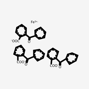 O=C([O-])c1ccccc1C(=O)c1ccccc1.O=C([O-])c1ccccc1C(=O)c1ccccc1.O=C([O-])c1ccccc1C(=O)c1ccccc1.[Fe+3]